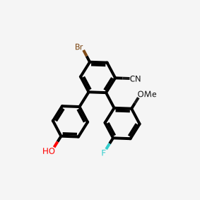 COc1ccc(F)cc1-c1c(C#N)cc(Br)cc1-c1ccc(O)cc1